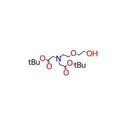 CC(C)(C)OC(=O)CN(CCOCCO)CC(=O)OC(C)(C)C